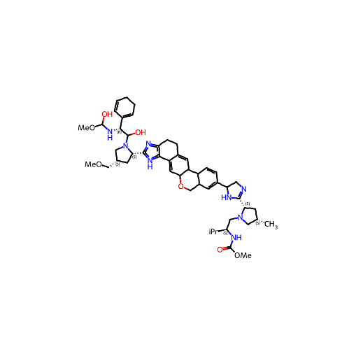 COC[C@H]1C[C@@H](c2nc3c([nH]2)C2=CC4OCC5C=C(C6CN=C([C@@H]7C[C@H](C)CN7C[C@@H](NC(=O)OC)C(C)C)N6)C=CC5C4C=C2CC3)N(C(O)[C@H](NC(O)OC)C2=CCCC=C2)C1